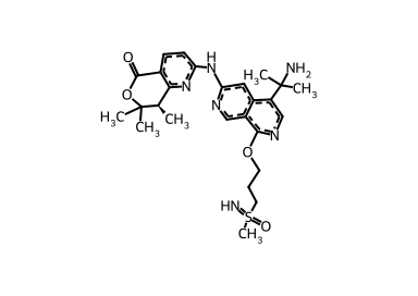 C[C@@H]1c2nc(Nc3cc4c(C(C)(C)N)cnc(OCCCS(C)(=N)=O)c4cn3)ccc2C(=O)OC1(C)C